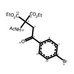 CCOC(=O)C(CC(=O)c1ccc(Br)cc1)(NC(C)=O)C(=O)OCC